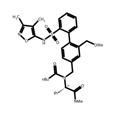 CCCCC(=O)N(Cc1ccc(-c2ccccc2S(=O)(=O)Nc2onc(C)c2C)c(COC)c1)[C@H](C(=O)NC)C(C)C